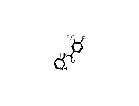 O=C(NC1=CC=CNC1)c1ccc(F)c(C(F)(F)F)c1